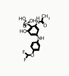 CC(=O)Nc1cc(Nc2ccc(OC(F)F)cc2)cc(O)c1[As](=O)(O)O